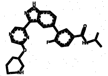 CC(C)NC(=O)c1ccc(F)c(-c2ccc3[nH]nc(-c4cncc(OC5CCCNC5)n4)c3c2)c1